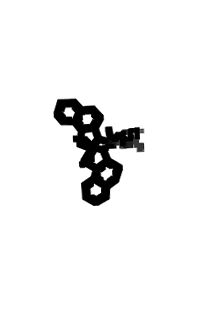 CCC1=Cc2c(ccc3ccccc23)[CH]1[Zr+2]([CH3])([CH3])(=[SiH2])[CH]1C(CC)=Cc2c1ccc1ccccc21.[Cl-].[Cl-]